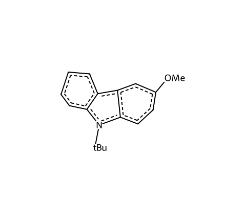 COc1ccc2c(c1)c1ccccc1n2C(C)(C)C